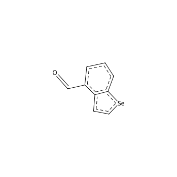 O=Cc1cccc2[se]ccc12